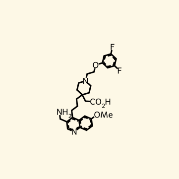 COc1ccc2ncc(CN)c(CCCC3(CC(=O)O)CCN(CCOc4cc(F)cc(F)c4)CC3)c2c1